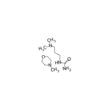 CN(C)CCCNC(N)=O.CN1CCOCC1